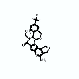 CCN(C(=O)c1cc2nc(N)c3c(c2[nH]1)COC3)[C@@H]1COCc2cc(C(F)(F)F)ccc21